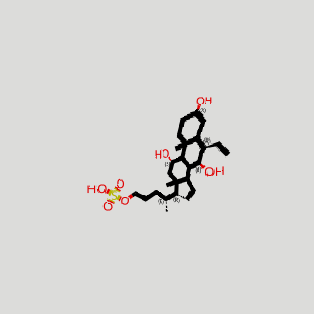 CC[C@@H]1C2C[C@H](O)CCC2(C)C2C(C3CC[C@H]([C@H](C)CCCOS(=O)(=O)O)C3(C)C[C@@H]2O)[C@@H]1O